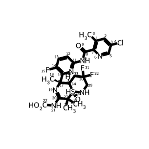 Cc1cc(Cl)cnc1C(=O)Nc1ccc(F)c([C@@]2(C)N=C(NC(=O)O)C(C)(C)[SH]3(=O)NCC(F)(F)C[C@H]23)n1